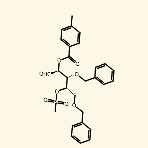 Cc1ccc(C(=O)O[C@H](C=O)[C@H](OCc2ccccc2)[C@H](COCc2ccccc2)OS(C)(=O)=O)cc1